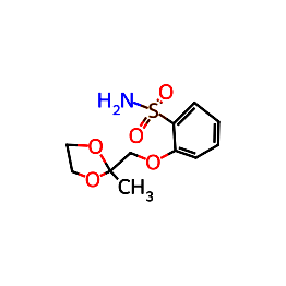 CC1(COc2ccccc2S(N)(=O)=O)OCCO1